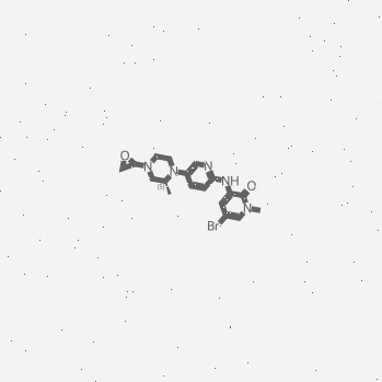 C[C@H]1CN(C2CO2)CCN1c1ccc(Nc2cc(Br)cn(C)c2=O)nc1